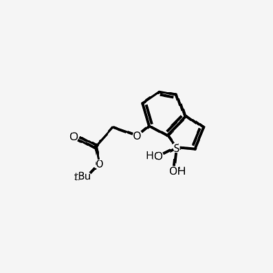 CC(C)(C)OC(=O)COc1cccc2c1S(O)(O)C=C2